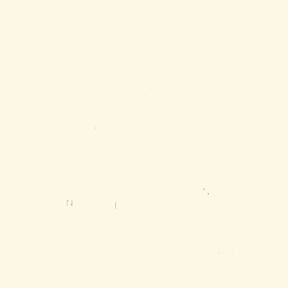 O=S(=O)(c1ccccc1)c1sc(CN2CC(O)C2)cc1-c1cccnc1F